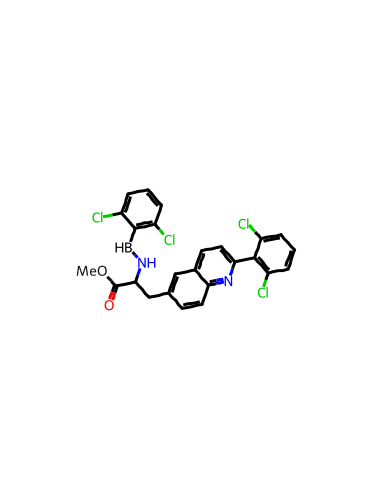 COC(=O)C(Cc1ccc2nc(-c3c(Cl)cccc3Cl)ccc2c1)NBc1c(Cl)cccc1Cl